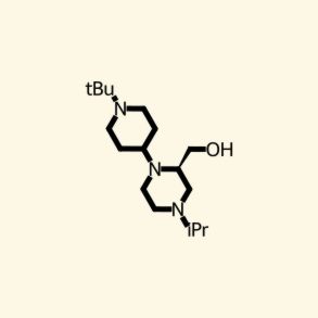 CC(C)N1CCN(C2CCN(C(C)(C)C)CC2)[C@@H](CO)C1